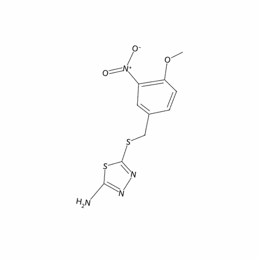 COc1ccc(CSc2nnc(N)s2)cc1[N+](=O)[O-]